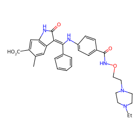 CCN1CCN(CCONC(=O)c2ccc(N/C(=C3\C(=O)Nc4cc(C(=O)O)c(C)cc43)c3ccccc3)cc2)CC1